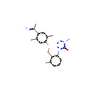 CON=C(C)c1cc(C)c(OCc2c(OC)cccc2-n2nnn(C)c2=O)cc1C